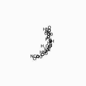 C[C@@H]1CN(C[C@@H]2[C@H]3CN(c4cc5c(cc4F)C(=O)N(C4CCC(=O)NC4=O)C5=O)C[C@@H]23)CCN1c1cnc(C(=O)N[C@H]2CC[C@H](Oc3ccc(C#N)c(Cl)c3)CC2)cn1